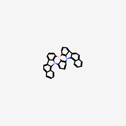 c1cc2c3c(c1)-n1c4c(cccc4c4ccc5ccccc5c41)B3c1cccc3c4ccc5ccccc5c4n-2c13